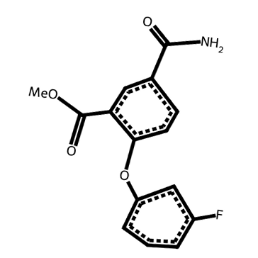 COC(=O)c1cc(C(N)=O)ccc1Oc1cccc(F)c1